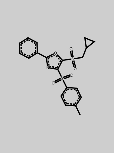 Cc1ccc(S(=O)(=O)c2nc(-c3ccccc3)oc2S(=O)(=O)CC2CC2)cc1